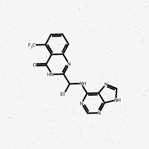 CCC(Nc1ncnc2[nH]cnc12)c1nc2cccc(C(F)(F)F)c2c(=O)[nH]1